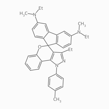 CCc1nn(-c2ccc(C)cc2)c2c1C1(Oc3ccccc3-2)c2ccc(N(C)CC)cc2-c2cc(N(C)CC)ccc21